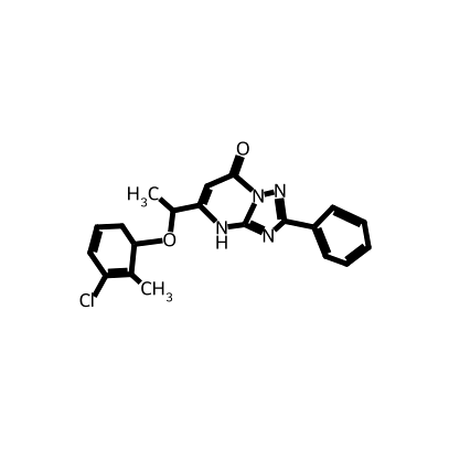 CC1=C(Cl)C=CCC1OC(C)c1cc(=O)n2nc(-c3ccccc3)nc2[nH]1